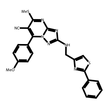 COc1ccc(-c2c(C#N)c(SC)nc3nc(NCc4csc(-c5ccccc5)n4)nn23)cc1